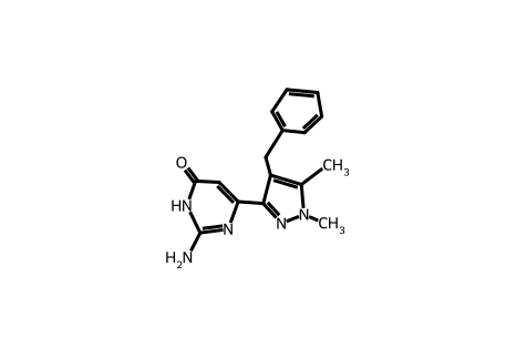 Cc1c(Cc2ccccc2)c(-c2cc(=O)[nH]c(N)n2)nn1C